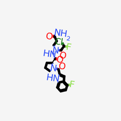 NC(=O)CCN(NC(=O)[C@@H]1CCCN1C(=O)c1cc2c(F)cccc2[nH]1)C(=O)C(F)Cl